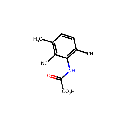 Cc1ccc(C)c(NC(=O)C(=O)O)c1C#N